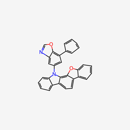 c1ccc(-c2cc(-n3c4ccccc4c4ccc5c6ccccc6oc5c43)cc3ncoc23)cc1